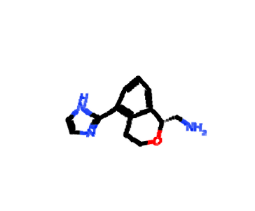 NC[C@@H]1OCCc2c(-c3ncc[nH]3)cccc21